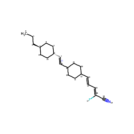 CCC[C@H]1CC[C@H](/C=C/C2CCC(C=CC=C(F)C#N)CC2)CC1